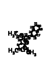 CCOC(=O)C(CC(C)C)CP(=O)(CSc1ccc2ccccc2c1)OCC